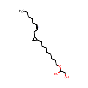 CCCCC/C=C\CC1CC1CCCCCCCCOC(O)CO